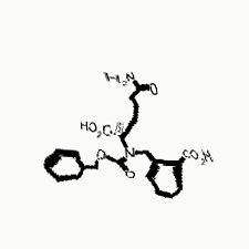 NC(=O)CC[C@@H](C(=O)O)N(Cc1ccccc1C(=O)O)C(=O)OCc1ccccc1